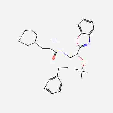 CC(C)(C)[Si](C)(C)OC(c1nc2ccccc2o1)[C@H](CCc1ccccc1)NC(=O)[C@@H](N)CC1CCCCC1